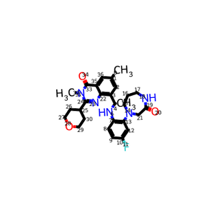 Cc1cc([C@@H](C)Nc2ccc(F)cc2N2CCCNC(=O)C2)c2nc(C3CCOCC3)n(C)c(=O)c2c1